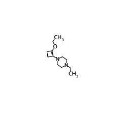 CCOC1=C(N2CCN(CC)CC2)CC1